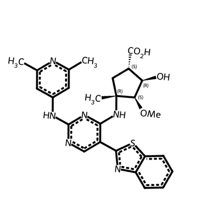 CO[C@@H]1[C@H](O)[C@@H](C(=O)O)C[C@@]1(C)Nc1nc(Nc2cc(C)nc(C)c2)ncc1-c1nc2ccccc2s1